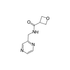 O=C(NCc1cnccn1)C1COC1